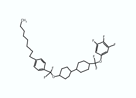 CCCCCCCCc1ccc(C(F)(F)OC2CCC(C3CCC(C(F)(F)Oc4cc(F)c(F)c(F)c4)CC3)CC2)cc1